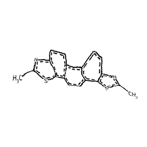 Cc1nc2ccc3c4ccc5nc(C)sc5c4ccc3c2s1